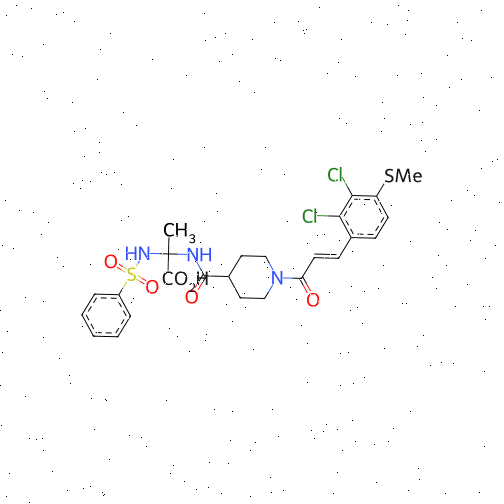 CSc1ccc(C=CC(=O)N2CCC(C(=O)NC(C)(NS(=O)(=O)c3ccccc3)C(=O)O)CC2)c(Cl)c1Cl